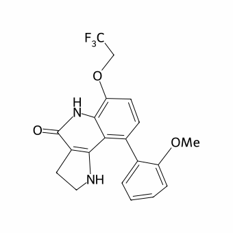 COc1ccccc1-c1ccc(OCC(F)(F)F)c2[nH]c(=O)c3c(c12)NCC3